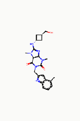 Cc1cccc2[nH]c(CN3C(=O)C4C(N=C(N[C@H]5C[C@H](CO)C5)N4C)N(C)C3=O)cc12